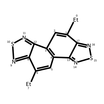 CCc1cc2c(cc(CC)c3nsnc32)c2nsnc12